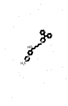 CN1CCN(c2ccc(C(O)CCCCCN3CCC(C(c4ccccc4)c4ccccc4)CC3)cc2)CC1